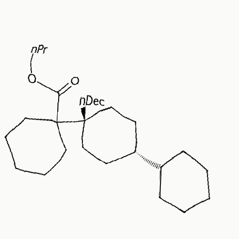 CCCCCCCCCC[C@]1(C2(C(=O)OCCC)CCCCC2)CC[C@@H](C2CCCCC2)CC1